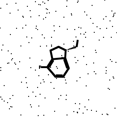 CC[C@H]1CCc2c(F)cccc21